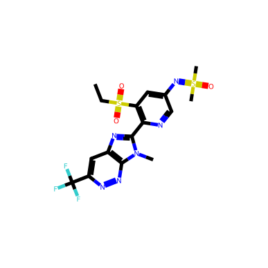 CCS(=O)(=O)c1cc(N=S(C)(C)=O)cnc1-c1nc2cc(C(F)(F)F)nnc2n1C